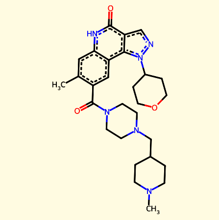 Cc1cc2[nH]c(=O)c3cnn(C4CCOCC4)c3c2cc1C(=O)N1CCN(CC2CCN(C)CC2)CC1